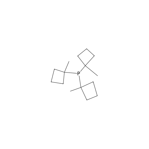 CC1(P(C2(C)CCC2)C2(C)CCC2)CCC1